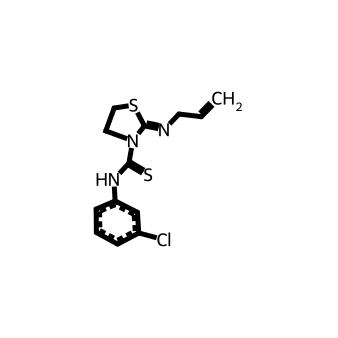 C=CCN=C1SCCN1C(=S)Nc1cccc(Cl)c1